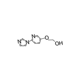 OCCOc1ccc(-n2ccnc2)nc1